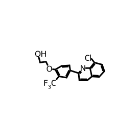 OCCOc1ccc(-c2ccc3cccc(Cl)c3n2)cc1C(F)(F)F